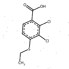 CCSc1ccc(C(=O)O)c(Cl)c1Cl